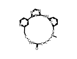 CN1CCCC(=O)NCCCc2cc(ccn2)-c2ncnc(n2)Nc2cccc(c2)C1